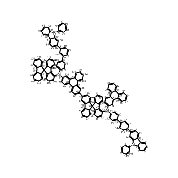 c1ccc(-n2c3ccccc3c3ccc(-c4ccc(-c5ccc(N(c6ccc7c8ccccc8c8ccccc8c7c6)c6cccc7c6-c6ccccc6C76c7ccccc7-c7cc(-c8ccc9c%10ccc(N(c%11ccc(-c%12cccc(-c%13ccc%14c%15ccccc%15n(-c%15ccccc%15)c%14c%13)c%12)cc%11)c%11cccc%12c%11-c%11ccccc%11C%12%11c%12ccccc%12-c%12ccccc%12%11)cc%10c%10ccccc%10c9c8)ccc76)cc5)cc4)cc32)cc1